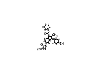 Cc1c(C(=O)CN2CCCCC2)c2ncc(CC(=O)NC(C)C)cc2n1-c1ccc(C#N)cc1